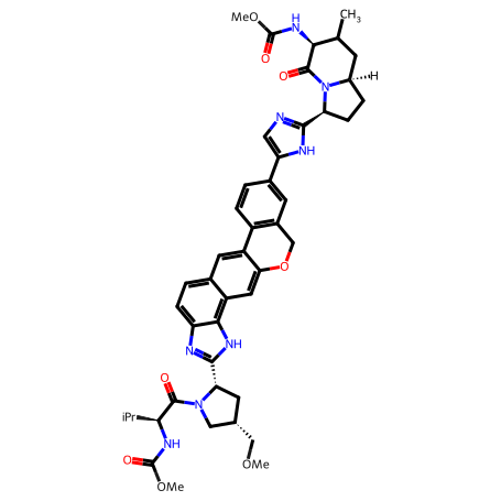 COC[C@H]1C[C@@H](c2nc3ccc4cc5c(cc4c3[nH]2)OCc2cc(-c3cnc([C@@H]4CC[C@@H]6CC(C)[C@H](NC(=O)OC)C(=O)N64)[nH]3)ccc2-5)N(C(=O)[C@@H](NC(=O)OC)C(C)C)C1